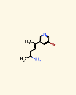 CC(=CCC(C)N)c1cncc(Br)c1